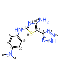 CN(C)c1ccc(Nc2nc(N)c(-c3nn[nH]n3)s2)cc1